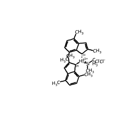 CC1=Cc2c(C)ccc(C)c2[C@@H]1[Hf+2]([C@H]1C(C)=Cc2c(C)ccc(C)c21)=[Si](C)C.[Cl-].[Cl-]